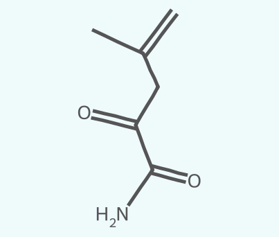 C=C(C)CC(=O)C(N)=O